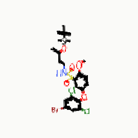 COc1ccc(Oc2c(Cl)cc(Br)cc2Cl)cc1S(=O)(=O)NCCC(C)O[Si](C)(C)C(C)(C)C